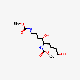 CC(C)(C)OC(=O)NCCCC(O)C(CCCCO)NC(=O)OC(C)(C)C